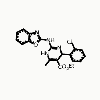 CCOC(=O)C1=C(C)NC(Nc2nc3ccccc3o2)=NC1c1ccccc1Cl